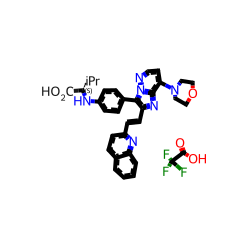 CC(C)[C@H](Nc1ccc(-c2c(C=Cc3ccc4ccccc4n3)nc3c(N4CCOCC4)ccnn23)cc1)C(=O)O.O=C(O)C(F)(F)F